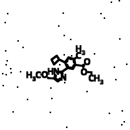 CCOC(=O)c1cc(-c2ncc(COC)[nH]2)c(C2CCC2)cc1C